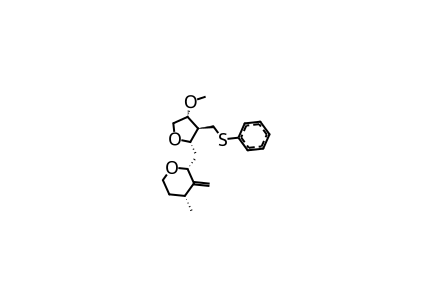 C=C1[C@H](C)CCO[C@@H]1C[C@@H]1OC[C@H](OC)[C@H]1CSc1ccccc1